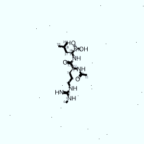 CNC(=N)NCCC[C@H](NC(C)=O)C(=O)N[C@@H](CC(C)C)B(O)O